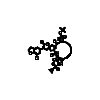 CC(C)(C)OC(=O)NC1CCCCC/C=C\C2CC2(C(=O)NS(=O)(=O)C2CC2)NC(=O)C2CC3(CN(c4cc(Cl)c5c(c4)CCO5)C(=O)O3)CN2C1=O